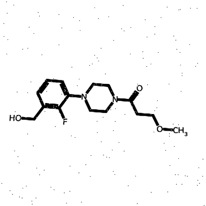 COCCC(=O)N1CCN(c2cccc(CO)c2F)CC1